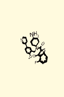 COc1ccc(-c2cccnc2)cc1CN(C(=O)c1sc2cccc(F)c2c1Cl)[C@H]1CC[C@H](N)CC1